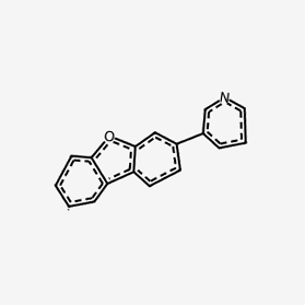 [c]1ccc2oc3cc(-c4cccnc4)ccc3c2c1